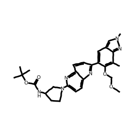 COCOc1c(-c2ccc3nc(N4CCC(NC(=O)OC(C)(C)C)C4)ccc3n2)cc2cn(C)nc2c1C